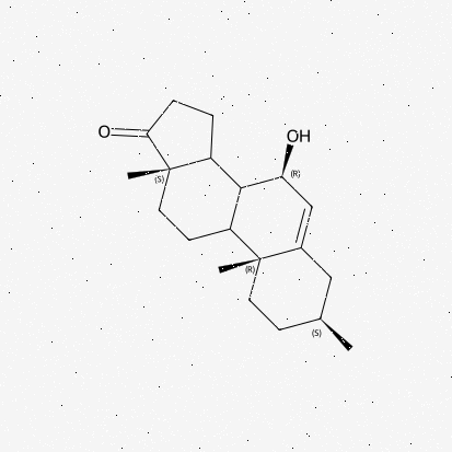 C[C@H]1CC[C@@]2(C)C(=C[C@H](O)C3C2CC[C@]2(C)C(=O)CCC32)C1